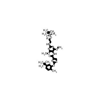 COc1nc(NCCO[Si](C)(C)C(C)(C)C)nc(OC)c1NC(=O)c1csc(Oc2cc(C(C)(C)C)ccc2C)n1